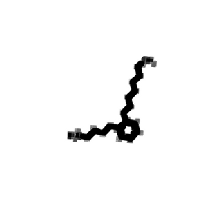 CCCCCCCCc1[c]cccc1CCCCC